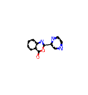 O=c1oc(-c2cnccn2)nc2ccccc12